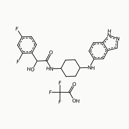 O=C(NC1CCC(Nc2ccc3[nH]ncc3c2)CC1)C(O)c1ccc(F)cc1F.O=C(O)C(F)(F)F